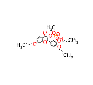 CCCCOc1ccc2c(=O)c(OCP(=O)(O)OCC)c(-c3ccc(OCCCC)c(OCCCC)c3)oc2c1